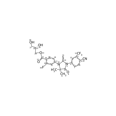 CC1(C)C(=O)N(c2ccc(C#N)c(C(F)(F)F)c2)C(=S)N1c1ccc(C(=O)OC[C@@H](O)CO)c(F)c1